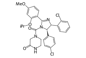 COc1ccc(C2=NC(c3ccccc3Cl)[C@@H](c3ccc(Cl)cc3)N2C(=O)N2CCNC(=O)C2)c(OC(C)C)c1